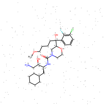 COCCCC[C@@](O)(c1cccc(Cl)c1F)C1CN(C(=O)N[C@@H](CC2CCCCC2)[C@H](O)CN)CCO1